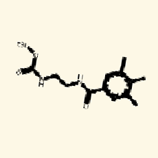 Cc1cc(C(=O)NCCNC(=O)OC(C)(C)C)cc(C)c1C